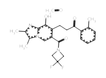 C=O.Cc1ccccc1C(=O)CCc1c(C(=O)N2CC(F)(F)C2)cn2c(C)c(C)nc2c1O